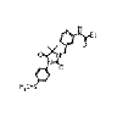 CCC(=O)Nc1cc(CN2C(=O)N(c3ccc(SC(F)(F)F)cc3)C(=O)C2(C)C)ccn1